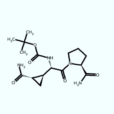 CC(C)(C)OC(=O)N[C@H](C(=O)N1CCC[C@H]1C(N)=O)[C@H]1C[C@@H]1C(N)=O